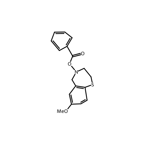 COc1ccc2c(c1)CN(OC(=O)c1ccccc1)CCS2